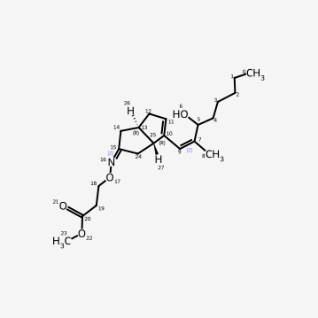 CCCCCC(O)/C(C)=C\C1=CC[C@@H]2C/C(=N/OCCC(=O)OC)C[C@@H]12